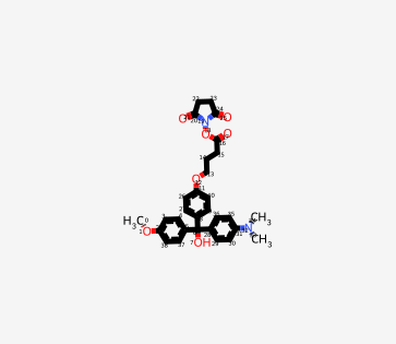 COc1ccc(C(O)(c2ccc(OCCCC(=O)ON3C(=O)CCC3=O)cc2)c2ccc(N(C)C)cc2)cc1